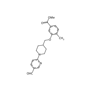 COC(=O)c1ccc(C)c(OCC2CCN(c3ccc(C=O)cn3)CC2)c1